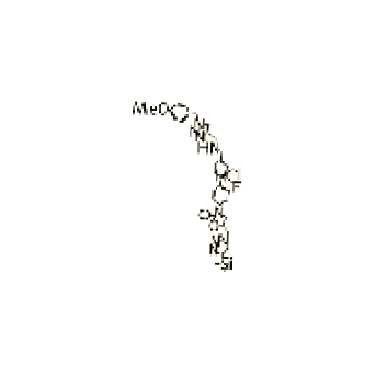 COc1ccc(Cn2cc(CNCc3ccc(-c4ccc(N5CC(Cn6cc([Si](C)(C)C)nn6)OC5=O)cc4F)cc3)nn2)cc1.Cl